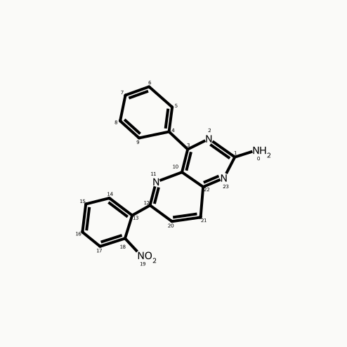 Nc1nc(-c2ccccc2)c2nc(-c3ccccc3[N+](=O)[O-])ccc2n1